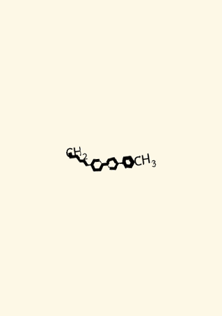 C=CCCCC[C@H]1CC[C@H]([C@H]2CC[C@H](c3ccc(C)cc3)CC2)CC1